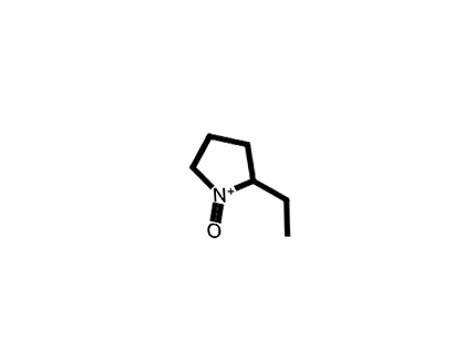 CCC1CCC[N+]1=O